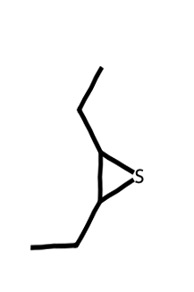 CCC1SC1CC